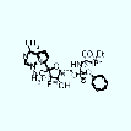 CCOC(=O)[C@@H](NP(=O)(OC[C@H]1O[C@@](C#N)(c2ccc3c(C)ncnn23)[C@](C)(F)[C@@H]1O)Oc1ccccc1)C(C)C